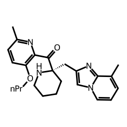 CCCOc1ccc(C)nc1C(=O)[C@@]1(Cc2cn3cccc(C)c3n2)CCCCN1